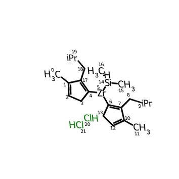 CC1=CC[C]([Zr]([C]2=C(CC(C)C)C(C)=CC2)[SiH](C)C)=C1CC(C)C.Cl.Cl